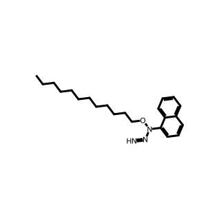 CCCCCCCCCCCCON(N=N)c1cccc2ccccc12